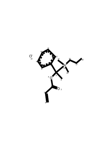 C=CC(=O)OC(C)(c1ccccc1)[N+](C)(C)CCC.[Cl-]